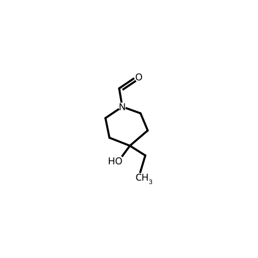 CCC1(O)CCN(C=O)CC1